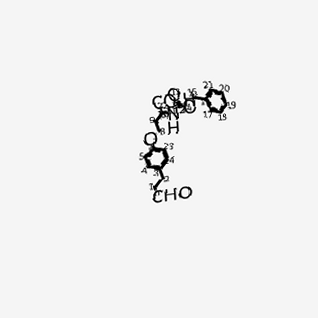 O=CCCc1ccc(OCC[C@H](NC(=O)OCc2ccccc2)C(=O)O)cc1